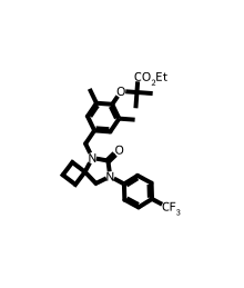 CCOC(=O)C(C)(C)Oc1c(C)cc(CN2C(=O)N(c3ccc(C(F)(F)F)cc3)CC23CCC3)cc1C